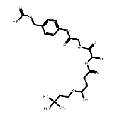 CC(CCC(=O)NC(C(=O)NCC(=O)Nc1ccc(COC(=O)P)cc1)C(C)C)OCCC(C)(C)N